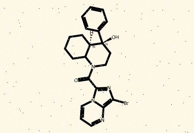 O=C(c1nc(Br)c2ncccn12)N1CC[C@@](O)(c2ccccc2)[C@@H]2CCCCC21